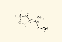 CC1(C)OC[C@@H]([C@H](N)CO)O1